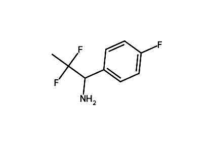 CC(F)(F)C(N)c1ccc(F)cc1